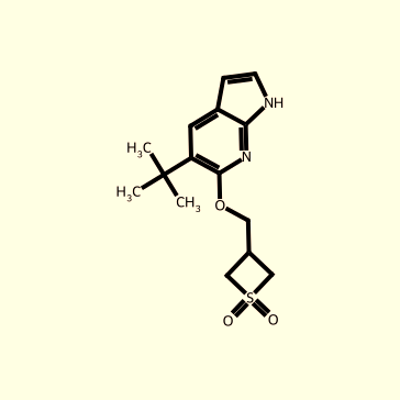 CC(C)(C)c1cc2cc[nH]c2nc1OCC1CS(=O)(=O)C1